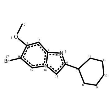 COc1cc2nc(C3CCCCC3)cn2cc1Br